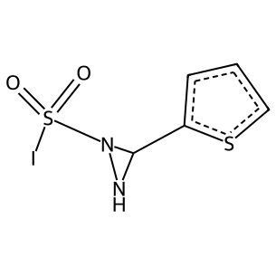 O=S(=O)(I)N1NC1c1cccs1